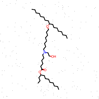 CCCCCCCCC(CCCCCCCC)OCCCCCCCCN(CCO)CCCCCC(=O)OC(CCC)CCCCCCCC